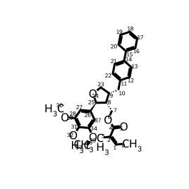 C/C=C(/C)C(=O)OC[C@H]1[C@@H](Cc2ccc(-c3ccccc3)cc2)CO[C@@H]1c1cc(OC)c(OC)c(OC)c1